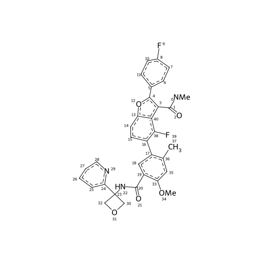 CNC(=O)c1c(-c2ccc(F)cc2)oc2ccc(-c3cc(C(=O)NC4(c5ccccn5)COC4)c(OC)cc3C)c(F)c12